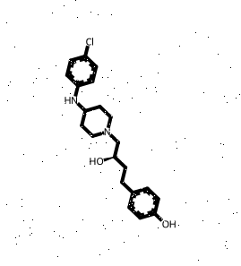 Oc1ccc(CC[C@@H](O)CN2CCC(Nc3ccc(Cl)cc3)CC2)cc1